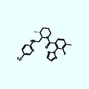 Cc1ccc(C(=O)N2CCC[C@@H](C)C2CNc2ccc(C(F)(F)F)cn2)c(-n2nccn2)c1F